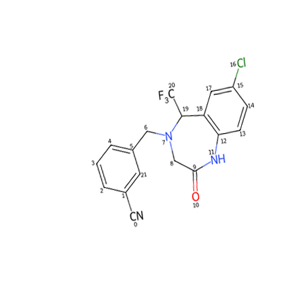 N#Cc1cccc(CN2CC(=O)Nc3ccc(Cl)cc3C2C(F)(F)F)c1